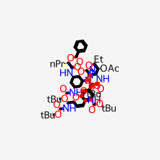 CCC[C@H](OC(=O)c1ccccc1)C(=O)N[C@@H]1C[C@@H](NC(=O)OC(C)(C)C)C(O[C@H]2OC(CNC(=O)OC(C)(C)C)C=CC2NC(=O)OC(C)(C)C)C(N=[N+]=[N-])[C@H]1O[C@H]1OC(CC)[C@H](OC(C)=O)[C@H](NC(=O)OC(C)(C)C)C1OC(=O)c1ccccc1